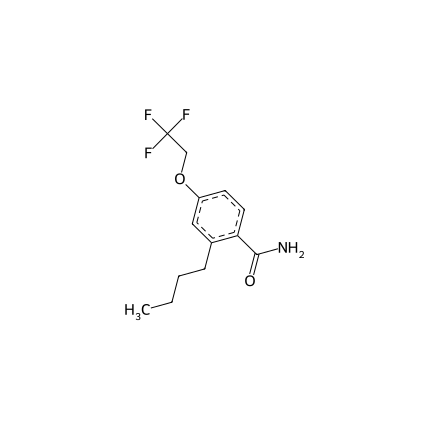 CCCCc1cc(OCC(F)(F)F)ccc1C(N)=O